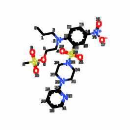 CCCN(CCOS(C)(=O)=O)c1ccc([N+](=O)[O-])cc1S(=O)(=O)N1CCN(c2ccccn2)CC1